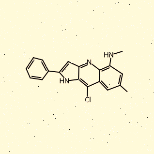 CNc1cc(C)cc2c(Cl)c3[nH]c(-c4ccccc4)cc3nc12